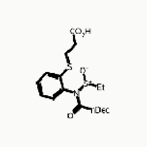 CCCCCCCCCCC(=O)N(c1ccccc1SCCC(=O)O)[S+]([O-])CC